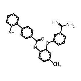 Cc1ccc(NC(=O)c2ccc(-c3ccccc3S)cc2)c(Oc2cccc(C(=N)N)c2)c1